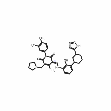 CC1=C(CN2CCCC2)C(=O)N(c2ccc(C)c(C)c2)C(=O)/C1=N/Nc1cccc(C2CCCC(c3nnn[nH]3)C2)c1O